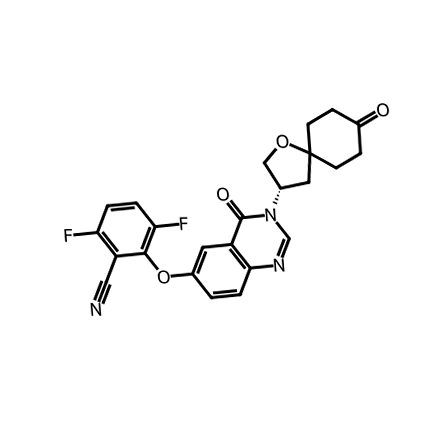 N#Cc1c(F)ccc(F)c1Oc1ccc2ncn([C@@H]3COC4(CCC(=O)CC4)C3)c(=O)c2c1